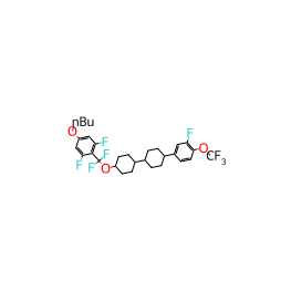 CCCCOc1cc(F)c(C(F)(F)OC2CCC(C3CCC(c4ccc(OC(F)(F)F)c(F)c4)CC3)CC2)c(F)c1